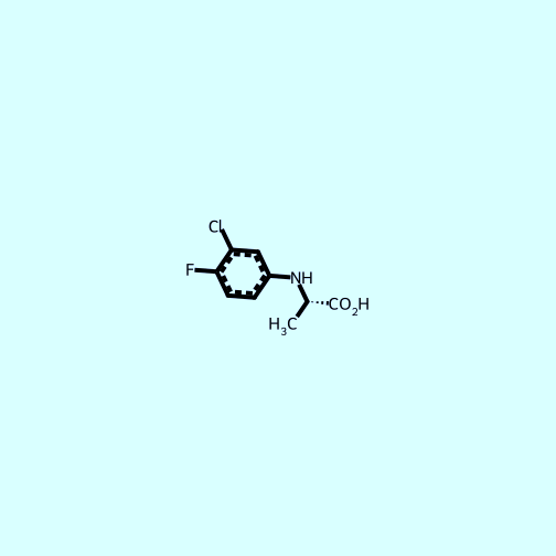 C[C@H](Nc1ccc(F)c(Cl)c1)C(=O)O